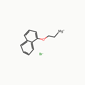 [Br-].[Mg+][CH2]COc1cccc2ccccc12